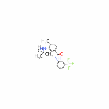 Cc1ccc(C(=O)Nc2cccc(C(F)(F)F)c2)cc1NC(C)(C)C